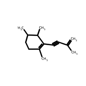 C=C(C)C#CC1=C(C)CCC(C)C1C